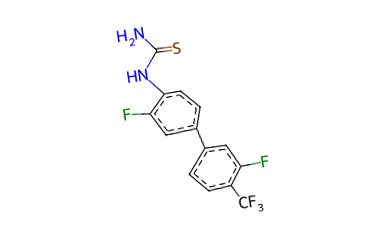 NC(=S)Nc1ccc(-c2ccc(C(F)(F)F)c(F)c2)cc1F